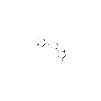 C[C@@H]1NC(=O)C=C1N1CCC(N2C(=O)C=C(O)[C@@H]2C)C1